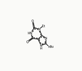 CCCCc1nc2c([nH]1)c(=O)[nH]c(=O)n2CC